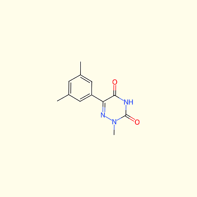 Cc1cc(C)cc(-c2nn(C)c(=O)[nH]c2=O)c1